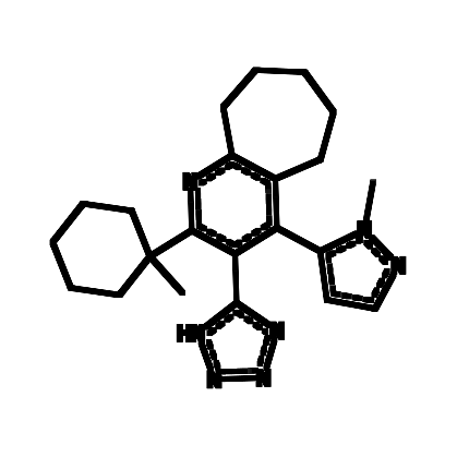 Cn1nccc1-c1c2c(nc(C3(C)CCCCC3)c1-c1nnn[nH]1)CCCCC2